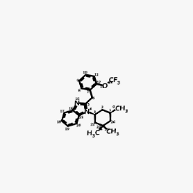 C[C@@H]1C[C@H](n2c(Cc3ccccc3OC(F)(F)F)nc3ccccc32)CC(C)(C)C1